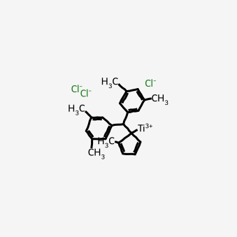 CC1=CC=C[C]1([Ti+3])C(c1cc(C)cc(C)c1)c1cc(C)cc(C)c1.[Cl-].[Cl-].[Cl-]